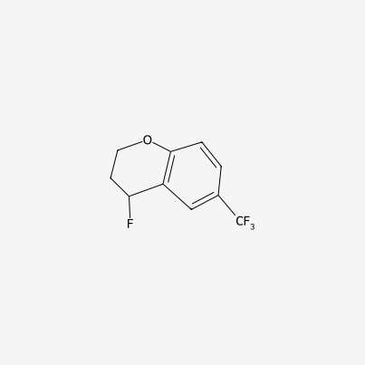 FC1CCOc2ccc(C(F)(F)F)cc21